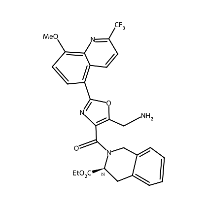 CCOC(=O)[C@@H]1Cc2ccccc2CN1C(=O)c1nc(-c2ccc(OC)c3nc(C(F)(F)F)ccc23)oc1CN